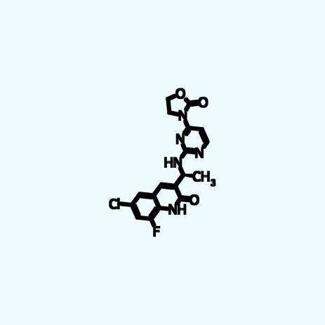 C[C@H](Nc1nccc(N2CCOC2=O)n1)c1cc2cc(Cl)cc(F)c2[nH]c1=O